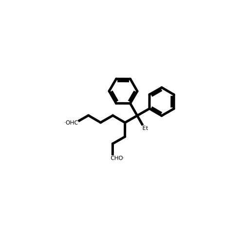 CCC(c1ccccc1)(c1ccccc1)C(CC[C]=O)CCC[C]=O